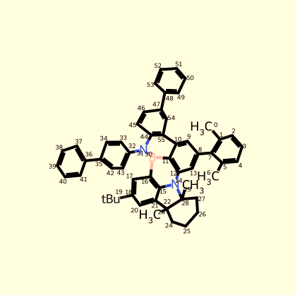 Cc1cccc(C)c1-c1cc2c3c(c1)N1c4c(cc(C(C)(C)C)cc4C4(C)CCCCC14C)B3N(c1ccc(-c3ccccc3)cc1)c1ccc(-c3ccccc3)cc1-2